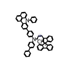 C=C(/C=C\C1=CC2(c3ccccc31)c1ccccc1-c1ccccc12)N(c1ccc(-c2ccccc2)cc1)c1ccc(-c2ccc3c(c2)N(c2ccccc2)c2cccc4cccc-3c24)cc1